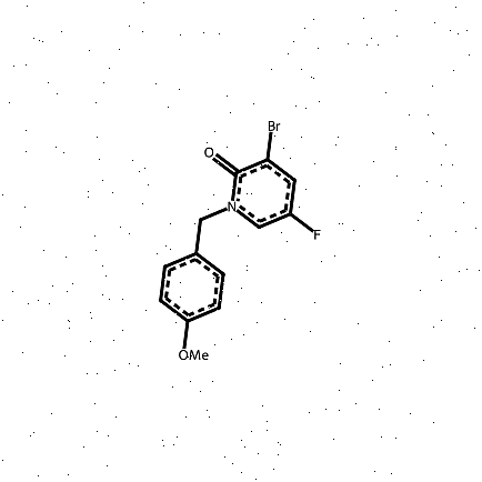 COc1ccc(Cn2cc(F)cc(Br)c2=O)cc1